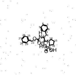 O=C(N[C@@H](Cc1ccccc1)C(=O)N1CCCC1P(=O)(O)O)OCc1ccccc1